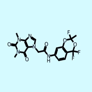 Cn1c(=O)c2c(ncn2CC(=O)Nc2ccc3c(c2)OC(C)(F)OC3(F)F)n(C)c1=O